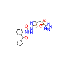 Cc1ccc(NC(=O)Nc2ncc(CS(=O)(=O)c3nnnn3C)s2)c(C(=O)C2CCCC2)c1